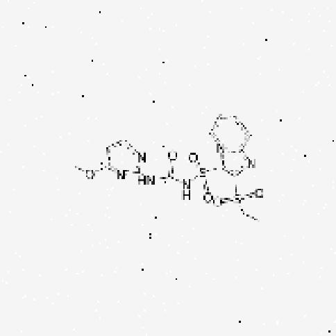 CCS(=O)(=O)c1nc2ccccn2c1S(=O)(=O)NC(=O)Nc1nccc(OC)n1